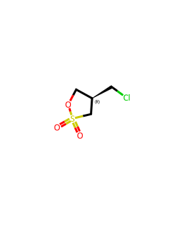 O=S1(=O)C[C@H](CCl)CO1